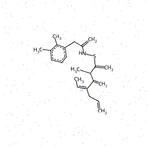 C=CC/C(=C/C)C(=C)C(C)C(=C)SNC(=C)Cc1cccc(C)c1C